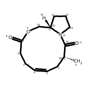 C[C@@H]1CC=CCCC(=O)OC[C@@H]2CCCN2C1=O